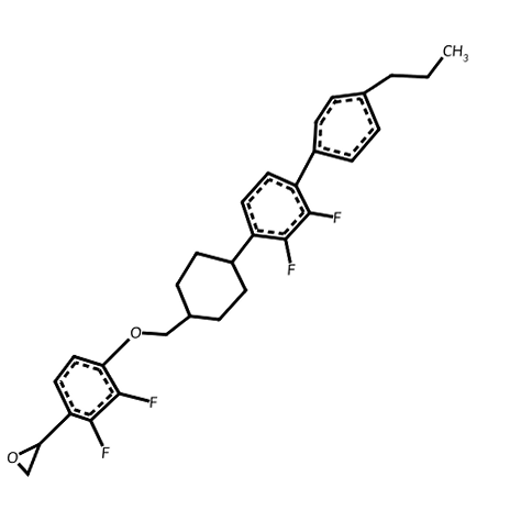 CCCc1ccc(-c2ccc(C3CCC(COc4ccc(C5CO5)c(F)c4F)CC3)c(F)c2F)cc1